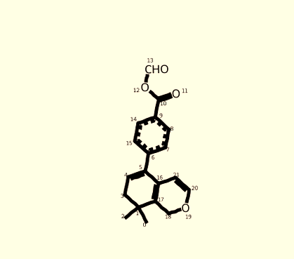 CC1(C)CC=C(c2ccc(C(=O)OC=O)cc2)C2=C1COC=C2